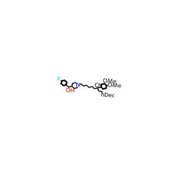 CCCCCCCCCCCCC(C#N)(CCCCCCN1CCC(C(O)c2ccc(F)cc2)CC1)c1ccc(OC)c(OC)c1